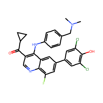 CN(C)Cc1ccc(Nc2c(C(=O)C3CC3)cnc3c(F)cc(-c4cc(Cl)c(O)c(Cl)c4)cc23)cc1